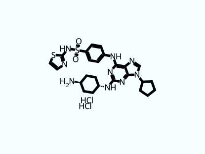 Cl.Cl.N[C@H]1CC[C@H](Nc2nc(Nc3ccc(S(=O)(=O)Nc4nccs4)cc3)c3ncn(C4CCCC4)c3n2)CC1